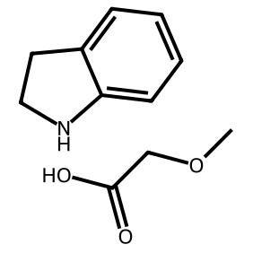 COCC(=O)O.c1ccc2c(c1)CCN2